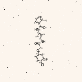 Cc1ncsc1C(=O)NC12CC(NC(=O)COc3ccc(Cl)c(F)c3)(C1)C2